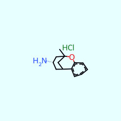 CC12CC(C[C@H](N)C1)c1ccccc1O2.Cl